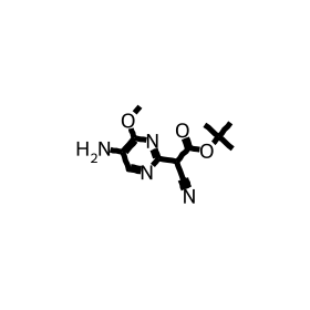 COc1nc(C(C#N)C(=O)OC(C)(C)C)ncc1N